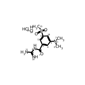 CN(C)c1cc(C(=O)NC(=N)N)cc(S(C)(=O)=O)c1.Cl.Cl